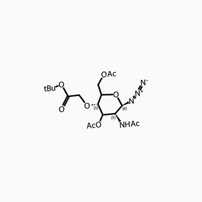 CC(=O)N[C@H]1C(OC(C)=O)[C@H](OCC(=O)OC(C)(C)C)C(COC(C)=O)O[C@H]1N=[N+]=[N-]